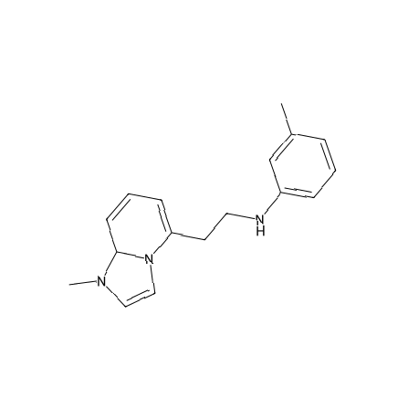 Cc1cccc(NCCC2=CC=CC3N(C)C=CN23)c1